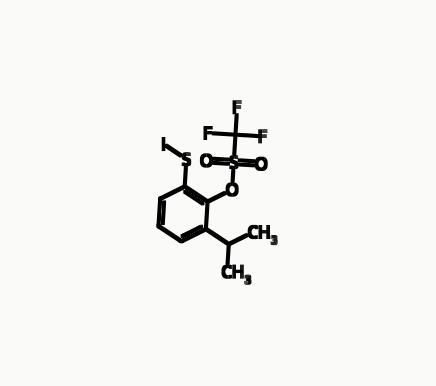 CC(C)c1cccc(SI)c1OS(=O)(=O)C(F)(F)F